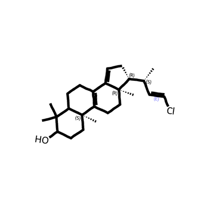 C[C@H](/C=C/Cl)[C@H]1CC=C2C3=C(CC[C@@]21C)[C@@]1(C)CCC(O)C(C)(C)C1CC3